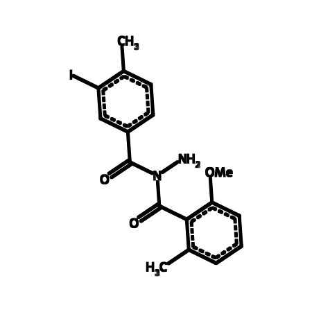 COc1cccc(C)c1C(=O)N(N)C(=O)c1ccc(C)c(I)c1